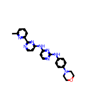 Cc1cccc(-c2nccc(Nc3ccnc(Nc4ccc(N5CCOCC5)cc4)n3)n2)n1